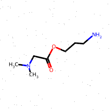 CN(C)CC(=O)OCCCN